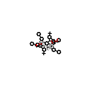 [C-]#[N+]c1c(-n2c3ccc(C(C)(C)C)cc3c3cc(C(C)(C)C)ccc32)c(-n2c3ccc(-c4ccccc4)cc3n3c4cc(-c5ccccc5)ccc4nc23)cc(C2c3ccc(C(C)(C)C)cc3-c3cc(C(C)(C)C)ccc32)c1-n1c2ccc(-c3ccccc3)cc2n2c3cc(-c4ccccc4)ccc3nc12